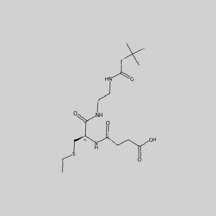 CCSC[C@H](NC(=O)CCC(=O)O)C(=O)NCCNC(=O)CC(C)(C)C